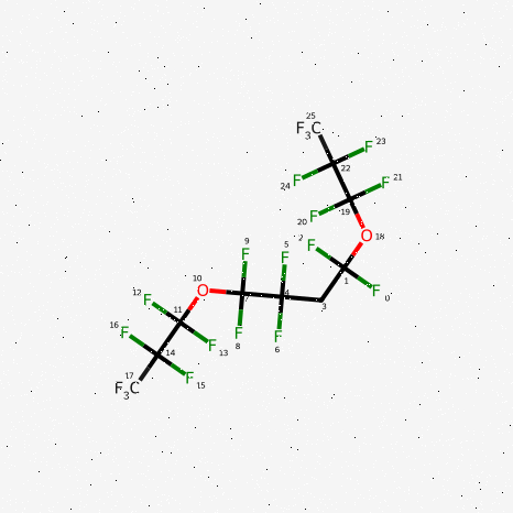 FC(F)(CC(F)(F)C(F)(F)OC(F)(F)C(F)(F)C(F)(F)F)OC(F)(F)C(F)(F)C(F)(F)F